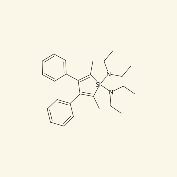 CCN(CC)[Si]1(N(CC)CC)C(C)=C(c2ccccc2)C(c2ccccc2)=C1C